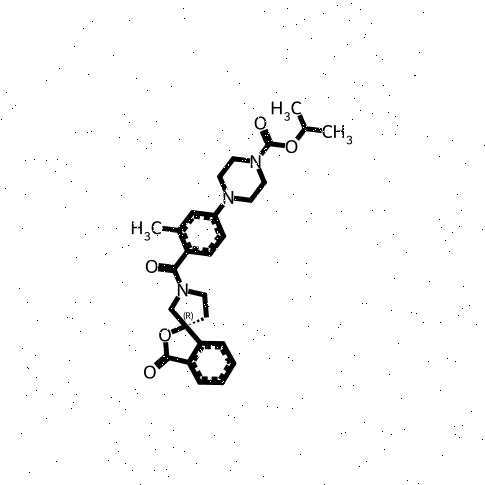 Cc1cc(N2CCN(C(=O)OC(C)C)CC2)ccc1C(=O)N1CC[C@@]2(C1)OC(=O)c1ccccc12